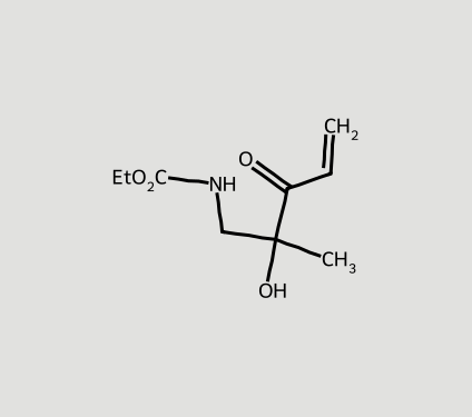 [CH2]COC(=O)NCC(C)(O)C(=O)C=C